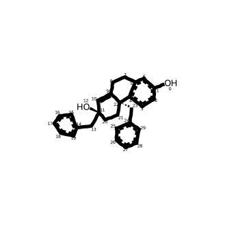 Oc1ccc2c(c1)CCC1=C[C@@](O)(Cc3ccccc3)CC[C@@]12Cc1ccccc1